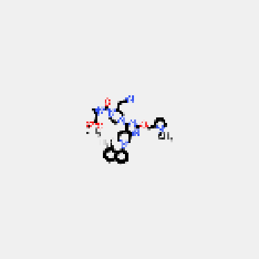 COC(=O)C1CN1C(=O)N1CCN(c2nc(OCC3CCCN3C)nc3c2CCN(c2cccc4cccc(C)c24)C3)CC1CC#N